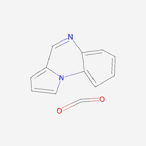 O=C=O.c1ccc2c(c1)ncc1cccn12